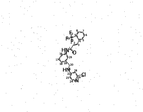 O=C(C=Cc1ccccc1C(F)(F)F)Nc1cccc(CNc2ccnc(Cl)c2)c1